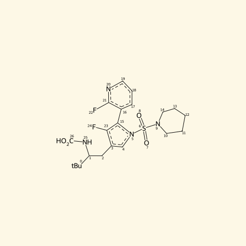 CC(C)(C)C(Cc1cn(S(=O)(=O)N2CCCCC2)c(-c2cccnc2F)c1F)NC(=O)O